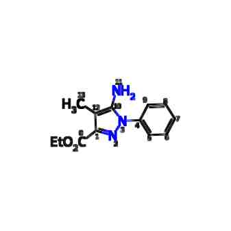 CCOC(=O)c1nn(-c2ccccc2)c(N)c1C